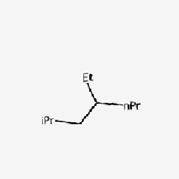 [CH2]CCC(CC)CC([CH2])C